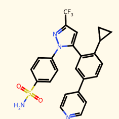 NS(=O)(=O)c1ccc(-n2nc(C(F)(F)F)cc2-c2cc(-c3ccncc3)ccc2C2CC2)cc1